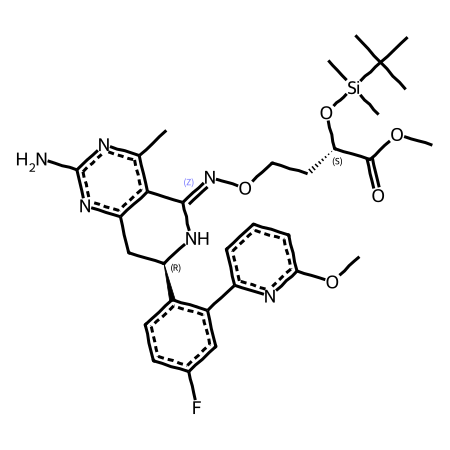 COC(=O)[C@H](CCO/N=C1\N[C@@H](c2ccc(F)cc2-c2cccc(OC)n2)Cc2nc(N)nc(C)c21)O[Si](C)(C)C(C)(C)C